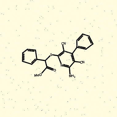 COC(=O)C(Sc1nc(N)c(C#N)c(-c2ccccc2)c1C#N)c1ccccc1